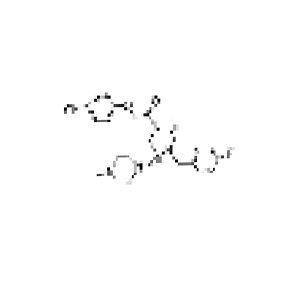 C[C@@H]1CN(Cc2ccc(F)cc2)[C@@H](CN2CCN(C)CC2)CN1C(=O)COc1ccc(Cl)cc1